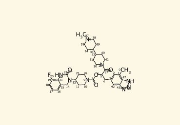 Cc1cc(CC(OC(=O)N2CCC(N3Cc4cccc(F)c4NC3=O)CC2)C(=O)N2CCC(C3CCN(C)CC3)CC2)cc2nn[nH]c12